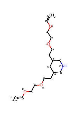 C=COCCOCCC1CNCC(CCOCCOC=C)C1